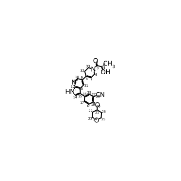 C[C@H](O)C(=O)N1CC=C(c2cnc3[nH]cc(-c4ccc(OC5CCOCC5)c(C#N)c4)c3c2)CC1